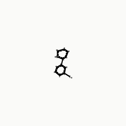 Ic1cccc(-c2ccccn2)c1